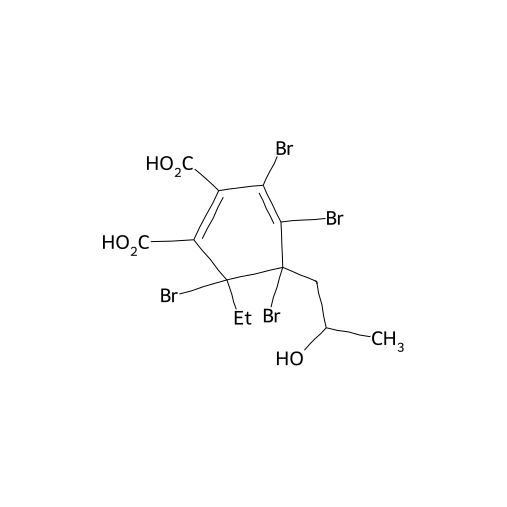 CCC1(Br)C(C(=O)O)=C(C(=O)O)C(Br)=C(Br)C1(Br)CC(C)O